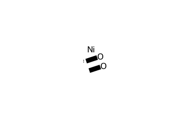 C=O.[C]=O.[Ni]